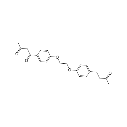 CC(=O)CCc1ccc(OCCOc2ccc(C(=O)CC(C)=O)cc2)cc1